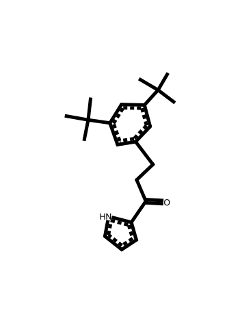 CC(C)(C)c1cc(CCC(=O)c2ccc[nH]2)cc(C(C)(C)C)c1